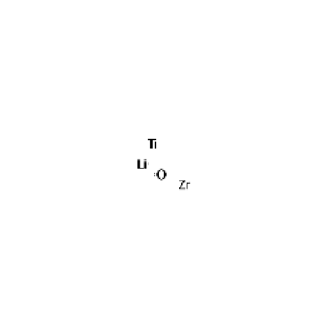 [Li].[O].[Ti].[Zr]